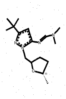 C[C@H]1CCC(Cn2nc(C(C)(C)C)cc2N=CN(C)C)O1